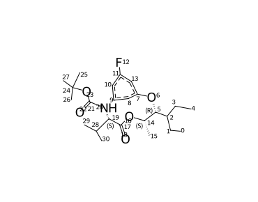 CCC(CC)[C@@H](Oc1cccc(F)c1)[C@H](C)OC(=O)[C@@H](NC(=O)OC(C)(C)C)C(C)C